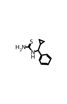 NC(=S)NC(c1ccccc1)C1CC1